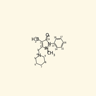 Bc1c(CN2CCCCC2)n(C)n(-c2ccccc2)c1=O